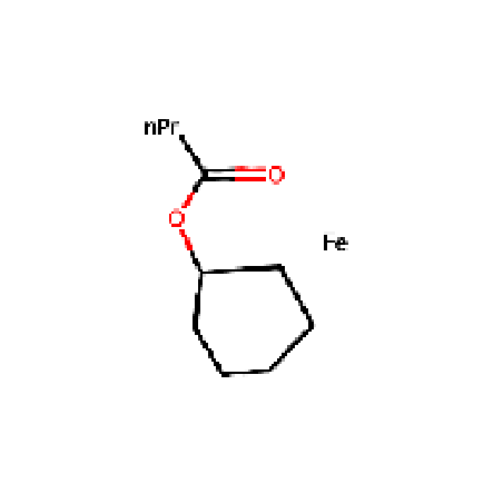 CCCC(=O)OC1CCCCC1.[Fe]